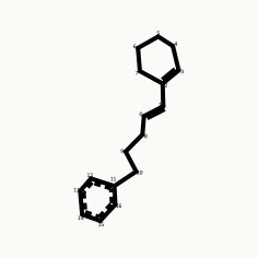 C(=CC1=CCCCC1)CCCc1ccccc1